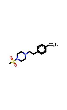 CCOC(=O)c1ccc(CCN2CCN(S(C)(=O)=O)CC2)cc1